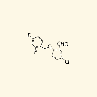 O=Cc1cc(Cl)ccc1OCc1ccc(F)cc1F